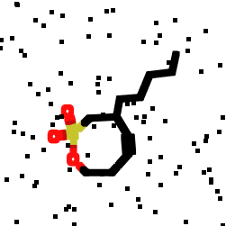 CCCCCC1C#CCCOS(=O)(=O)C1